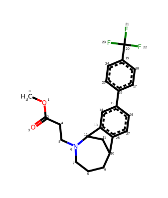 COC(=O)CCN1CCCC2CC1c1cc(-c3ccc(C(F)(F)F)cc3)ccc12